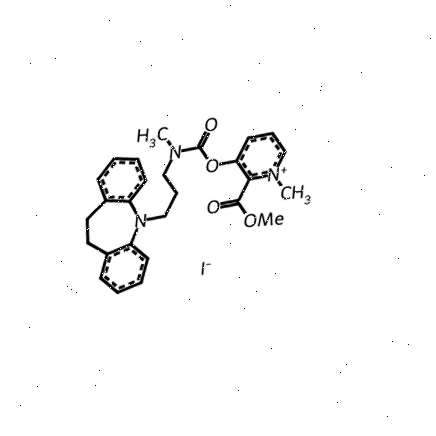 COC(=O)c1c(OC(=O)N(C)CCCN2c3ccccc3CCc3ccccc32)ccc[n+]1C.[I-]